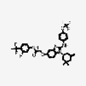 C=C1C[C@H](n2c(Nc3ccc(OC(F)(F)F)cc3)nc3cc(OCC(=O)Nc4ccc(C(F)(F)F)c(F)c4)ccc32)CC(C)(C)C1